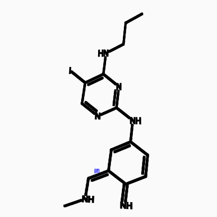 CCCNc1nc(NC2=C/C(=C/NC)C(=N)C=C2)ncc1I